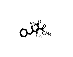 COC(=O)C1=C(O)C(CC2CCCCC2)CNC1=O